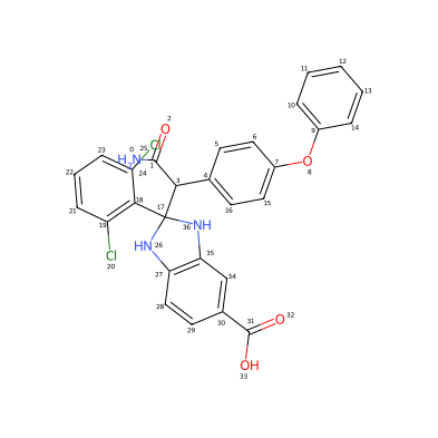 NC(=O)C(c1ccc(Oc2ccccc2)cc1)C1(c2c(Cl)cccc2Cl)Nc2ccc(C(=O)O)cc2N1